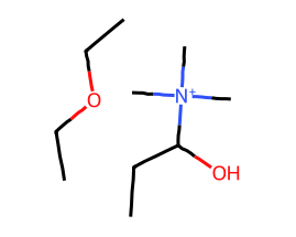 CCC(O)[N+](C)(C)C.CCOCC